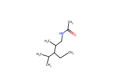 CCC(C(C)C)C(C)CNC(C)=O